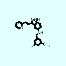 Cc1cc(F)cc(CNc2ccc3[nH]nc(C=Cc4ccccn4)c3c2)c1